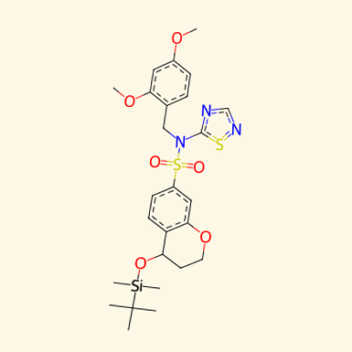 COc1ccc(CN(c2ncns2)S(=O)(=O)c2ccc3c(c2)OCCC3O[Si](C)(C)C(C)(C)C)c(OC)c1